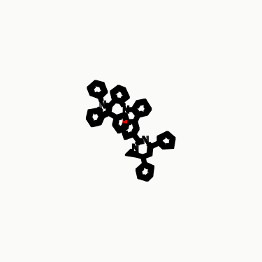 C1=C(c2ccccc2)N=C(c2cccc(-c3ccccc3N3c4ccccc4-c4c(n(-c5ccccc5)c5ccccc45)-c4ccccc43)c2)N2CC2C1c1ccccc1